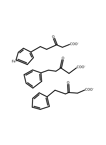 O=C([O-])CC(=O)CCc1ccccc1.O=C([O-])CC(=O)CCc1ccccc1.O=C([O-])CC(=O)CCc1ccccc1.[Fe+3]